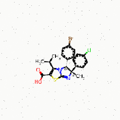 CC(C)C1=C(C(=O)O)SC2=N[C@@](C)(c3ccc(Cl)cc3)[C@@H](c3ccc(Br)cc3)N21